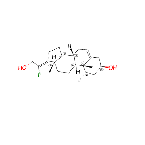 C[C@H]1C[C@H](O)CC2=CC[C@@H]3[C@H](CC[C@]4(C)C(=C(F)CO)CC[C@@H]34)[C@]21C